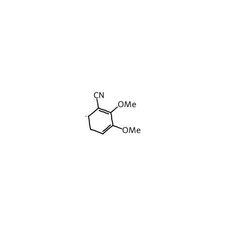 COC1=CC[CH]C(C#N)=C1OC